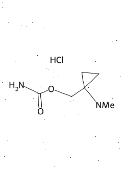 CNC1(COC(N)=O)CC1.Cl